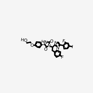 O=C1N[C@H](c2ccc(OCCO)cc2)C(=O)N1C(Cc1ccc(F)cc1)c1ncc(-c2ccc(I)cc2F)[nH]1